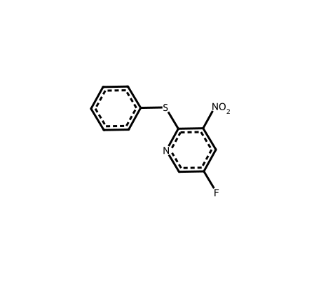 O=[N+]([O-])c1cc(F)cnc1Sc1ccccc1